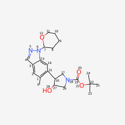 Cc1cc2cnn(C3CCCCO3)c2cc1C1CN(C(=O)OC(C)(C)C)CC1O